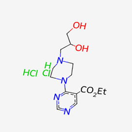 CCOC(=O)c1cncnc1N1CCN(CC(O)CO)CC1.Cl.Cl